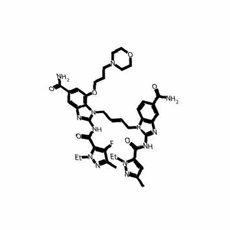 CCn1nc(C)cc1C(=O)Nc1nc2cc(C(N)=O)ccc2n1CC=CCn1c(NC(=O)c2c(F)c(C)nn2CC)nc2cc(C(N)=O)cc(OCCCN3CCOCC3)c21